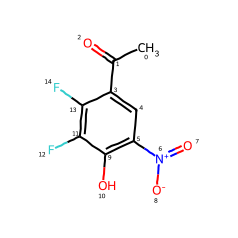 CC(=O)c1cc([N+](=O)[O-])c(O)c(F)c1F